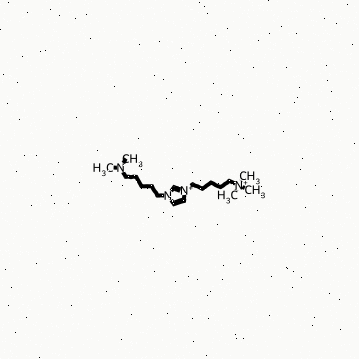 CN(C)CCCCCn1cc[n+](CCCCC[N+](C)(C)C)c1